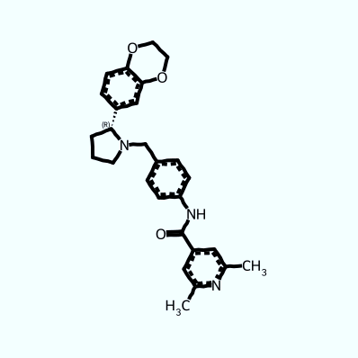 Cc1cc(C(=O)Nc2ccc(CN3CCC[C@@H]3c3ccc4c(c3)OCCO4)cc2)cc(C)n1